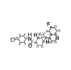 O=C(Nc1ccc(Cl)cc1)[C@H]1CC[C@H]2C[C@@H]1CC[C@H]2c1ccnc2ccc(F)cc12